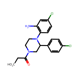 Nc1cc(Cl)ccc1N1CCN(C(=O)CC(=O)O)CC1c1ccc(Cl)cc1